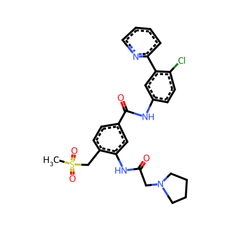 CS(=O)(=O)Cc1ccc(C(=O)Nc2ccc(Cl)c(-c3ccccn3)c2)cc1NC(=O)CN1CCCC1